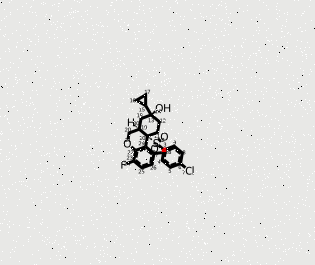 O=S(=O)(c1ccc(Cl)cc1)[C@@]12CC[C@@](O)(C3CC3)C[C@@H]1COc1c(F)ccc(F)c12